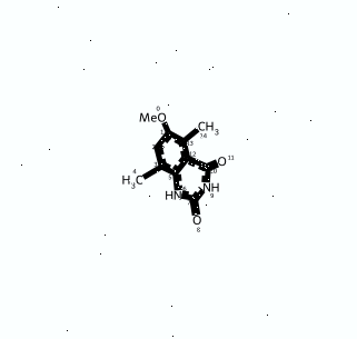 COc1cc(C)c2[nH]c(=O)[nH]c(=O)c2c1C